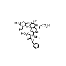 CC(C)[C@H](NC(=O)[C@H](CCC(=O)O)NC(=O)[C@@H](N)C(C(=O)O)C(=O)OCc1ccccc1)C(=O)N[C@@H](CC(=O)O)C(=O)C(=O)CF